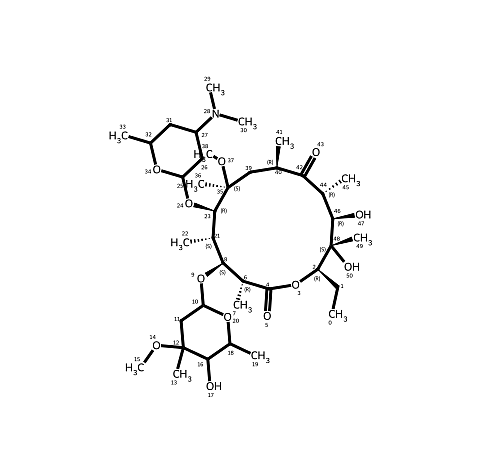 CC[C@H]1OC(=O)[C@H](C)[C@@H](OC2CC(C)(OC)C(O)C(C)O2)[C@H](C)[C@@H](OC2CC(N(C)C)CC(C)O2)[C@@](C)(OC)C[C@@H](C)C(=O)[C@H](C)[C@@H](O)[C@]1(C)O